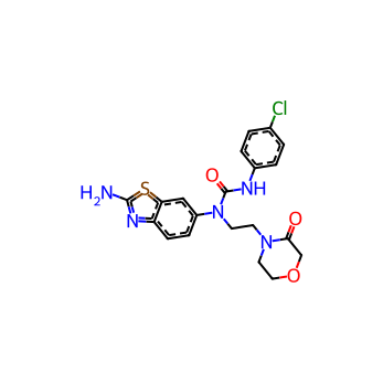 Nc1nc2ccc(N(CCN3CCOCC3=O)C(=O)Nc3ccc(Cl)cc3)cc2s1